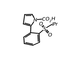 CC(C)S(=O)(=O)c1ccccc1-c1cccn1C(=O)O